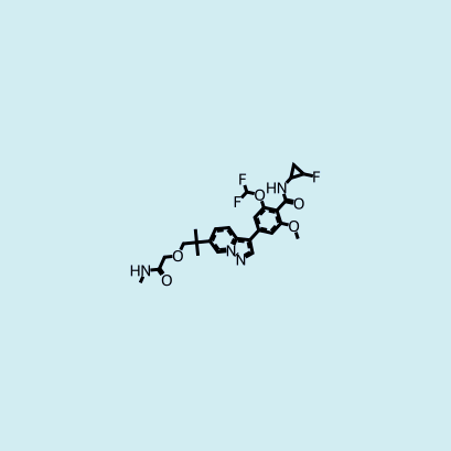 CNC(=O)COCC(C)(C)c1ccc2c(-c3cc(OC)c(C(=O)NC4CC4F)c(OC(F)F)c3)cnn2c1